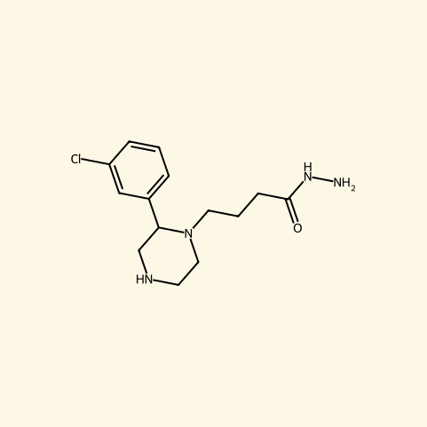 NNC(=O)CCCN1CCNCC1c1cccc(Cl)c1